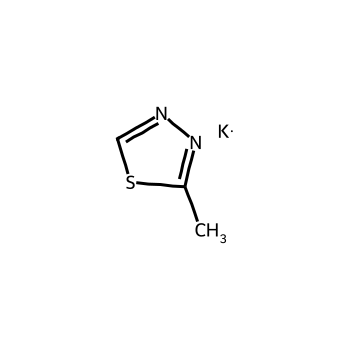 Cc1nncs1.[K]